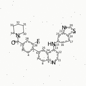 O=C(c1ccc(-c2ccc3nccc(Nc4ccc5scnc5c4)c3c2)c(F)c1)N1CCCCC1